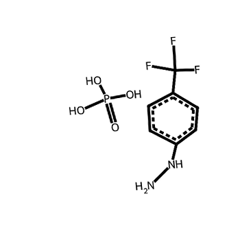 NNc1ccc(C(F)(F)F)cc1.O=P(O)(O)O